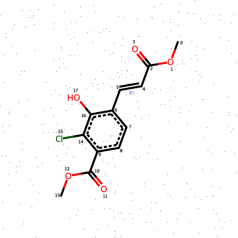 COC(=O)/C=C/c1ccc(C(=O)OC)c(Cl)c1O